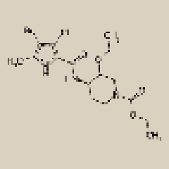 CCOC(=O)N1CC[C@@H](NC(=O)c2[nH]c(C)c(Br)c2Cl)[C@@H](OCC)C1